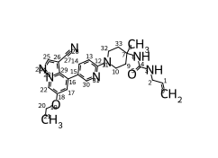 C=CCNC(=O)NC1(C)CCN(c2ccc(-c3cc(OCC)cn4ncc(C#N)c34)cn2)CC1